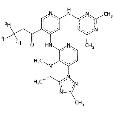 [2H]C([2H])([2H])CC(=O)c1cnc(Nc2cc(C)nc(C)n2)cc1Nc1nccc2c1N(C)[C@@H](C)c1nc(C)nn1-2